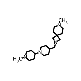 CN1CCC(N2CCC(CN3CC4(CCN(C)CC4)C3)CC2)CC1